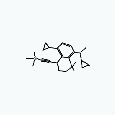 CN(c1ccc(C2CC2)c2c1C(C)(C)CCC2C#C[Si](C)(C)C)C1CC1